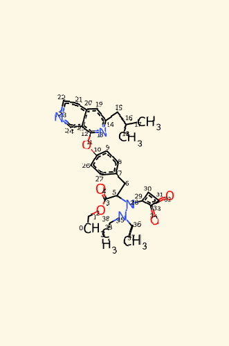 CCOC(=O)C(Cc1ccc(Oc2nc(CC(C)C)cc3ccncc23)cc1)N(c1cc(=O)c1=O)N(CC)CC